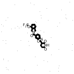 O=C1CCC(c2nc3ccc(C(=O)N4Cc5cccc(OC(F)(F)F)c5C4)cc3o2)C(=O)N1